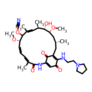 CO[C@H]1/C=C\C=C(/C)C(=O)NC2=CC(=O)C(NCCN3CCCC3)=C(C[C@@H](C)C[C@@H](OC)[C@@H](O)[C@H](C)/C=C(\C)C1OC#N)C2=O